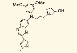 COc1cc(OC)cc(N(CCCN2CCC(O)C2)c2ccc3ncc(-c4cnn(C)c4)nc3c2)c1